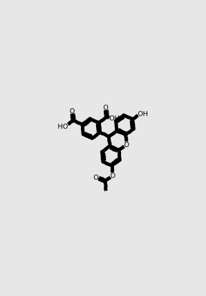 CC(=O)Oc1ccc2c(c1)Oc1cc(O)ccc1C2c1ccc(C(=O)O)cc1C(=O)O